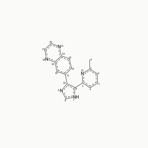 Cc1cccc(-c2[nH]cnc2-c2ccc3nccnc3c2)n1